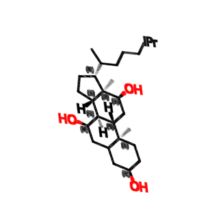 CC(C)CCCC(C)[C@H]1CC[C@H]2[C@@H]3[C@H](O)CC4C[C@H](O)CC[C@]4(C)[C@H]3C[C@H](O)[C@]12C